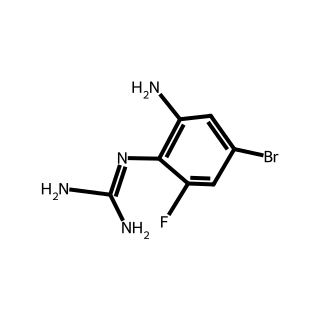 NC(N)=Nc1c(N)cc(Br)cc1F